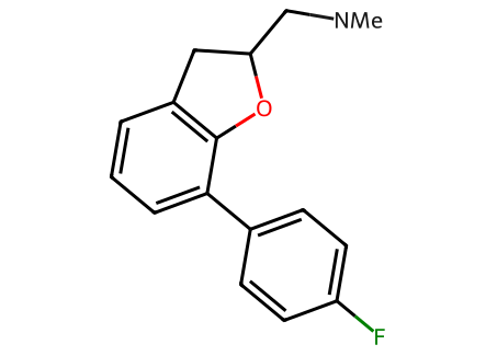 CNCC1Cc2cccc(-c3ccc(F)cc3)c2O1